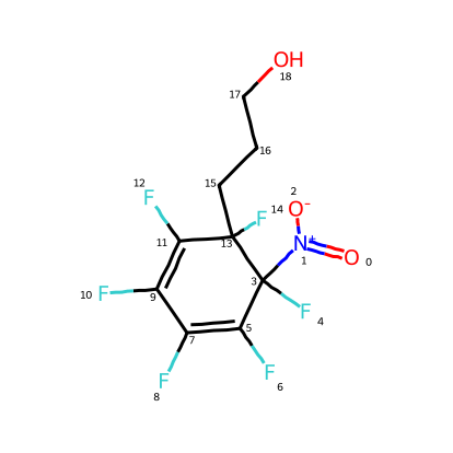 O=[N+]([O-])C1(F)C(F)=C(F)C(F)=C(F)C1(F)CCCO